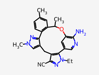 CCn1nc(C#N)c2c1-c1cnc(N)c(c1)OC(C)c1cc(C)ccc1-c1nn(C)cc1C2